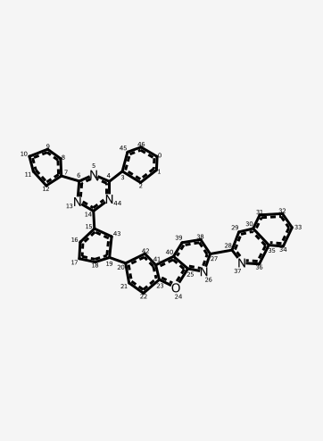 c1ccc(-c2nc(-c3ccccc3)nc(-c3cccc(-c4ccc5oc6nc(-c7cc8ccccc8cn7)ccc6c5c4)c3)n2)cc1